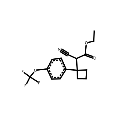 CCOC(=O)C(C#N)C1(c2ccc(OC(F)(F)F)cc2)CCC1